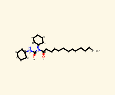 CCCCCCCCCCCCCCCCCCCCCC(=O)N(C(=O)NC1CCCCC1)C1CCCCC1